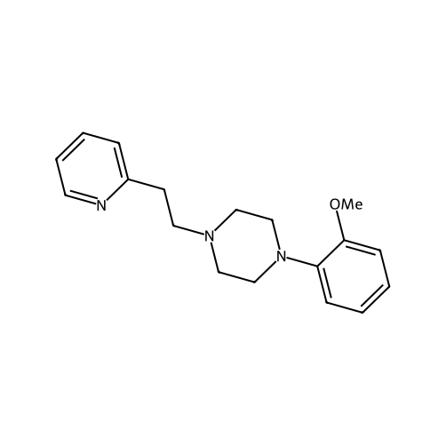 COc1ccccc1N1CCN(CCc2ccccn2)CC1